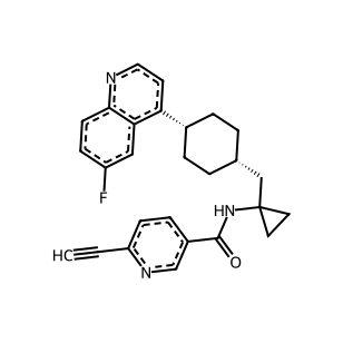 C#Cc1ccc(C(=O)NC2(C[C@H]3CC[C@@H](c4ccnc5ccc(F)cc54)CC3)CC2)cn1